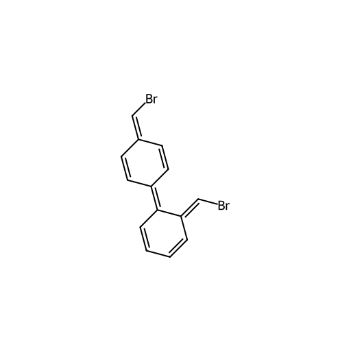 BrC=c1ccc(=c2ccccc2=CBr)cc1